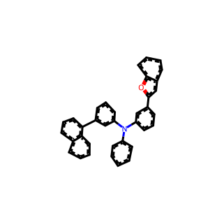 c1ccc(N(c2cccc(-c3cc4ccccc4o3)c2)c2cccc(-c3cccc4ccccc34)c2)cc1